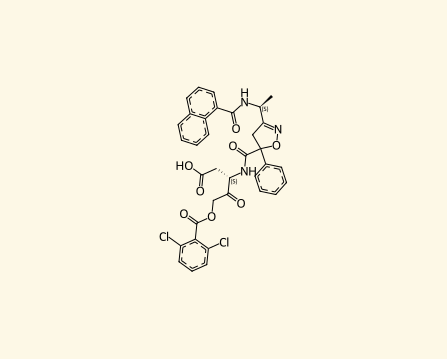 C[C@H](NC(=O)c1cccc2ccccc12)C1=NOC(C(=O)N[C@@H](CC(=O)O)C(=O)COC(=O)c2c(Cl)cccc2Cl)(c2ccccc2)C1